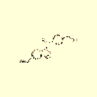 COc1ccc2c(C(=O)c3ccc(CO)cc3)n[nH]c2c1